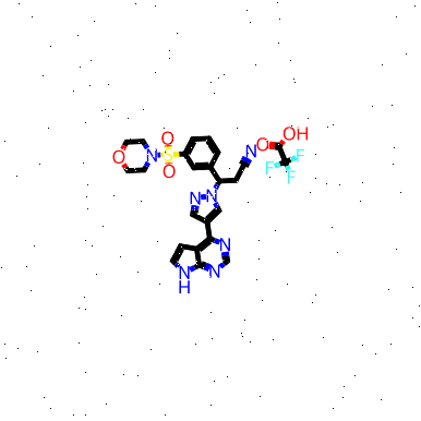 N#CCC(c1cccc(S(=O)(=O)N2CCOCC2)c1)n1cc(-c2ncnc3[nH]ccc23)cn1.O=C(O)C(F)(F)F